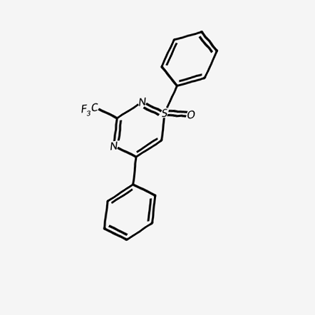 O=S1(c2ccccc2)=NC(C(F)(F)F)=NC(c2ccccc2)=C1